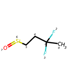 CC(F)(F)CC[S+]=O